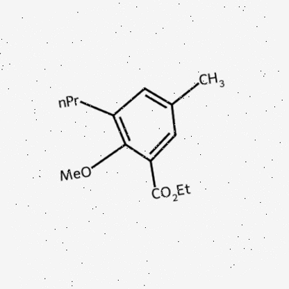 CCCc1cc(C)cc(C(=O)OCC)c1OC